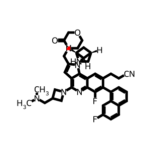 CN(C)CC1CN(c2nc3c(F)c(-c4cccc5ccc(F)cc45)c(CCC#N)cc3c3c2cc(CN2CCOCC2=O)n3[C@H]2[C@H]3CN[C@@H]2C3)C1